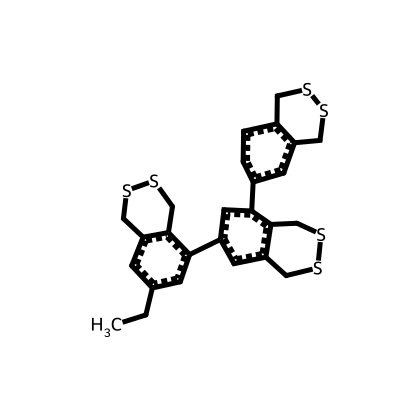 CCc1cc2c(c(-c3cc4c(c(-c5ccc6c(c5)CSSC6)c3)CSSC4)c1)CSSC2